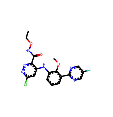 CCONC(=O)c1nnc(Cl)cc1Nc1cccc(-c2ncc(F)cn2)c1OC